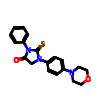 O=C1CN(c2ccc(N3CCOCC3)cc2)C(=S)N1c1ccccc1